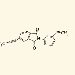 C=Cc1cccc(N2C(=O)c3ccc(C#CC)cc3C2=O)c1